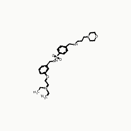 CCN(CC)CCOc1cccc(CNS(=O)(=O)c2ccc(CNCCCN3CCOCC3)cc2)c1